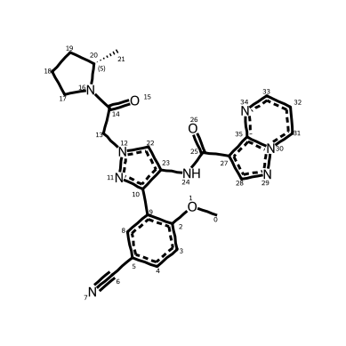 COc1ccc(C#N)cc1-c1nn(CC(=O)N2CCC[C@@H]2C)cc1NC(=O)c1cnn2cccnc12